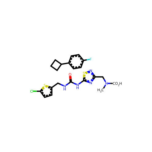 CN(Cc1nsc(NC(=O)NCc2ccc(Cl)s2)n1)C(=O)O.Fc1ccc(C2CCC2)cc1